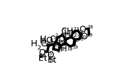 C=C1C[C@@]2(C)[C@@H](CC[C@@]2(O)C(=C)C(OCC)OCC)[C@@H]2CC=C3CC4(CC[C@@H]3[C@@H]12)OCCO4